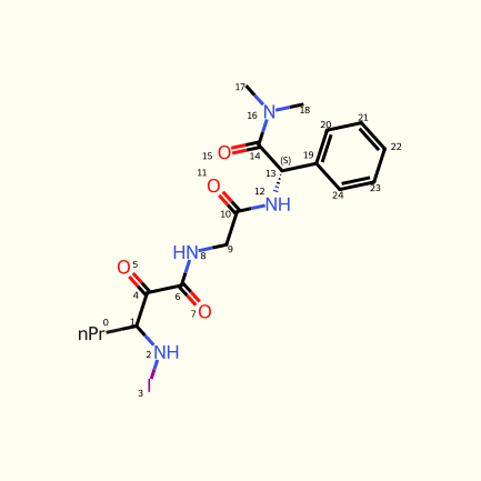 CCCC(NI)C(=O)C(=O)NCC(=O)N[C@H](C(=O)N(C)C)c1ccccc1